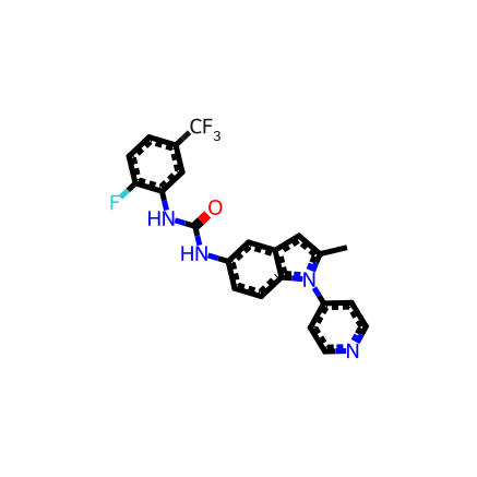 Cc1cc2cc(NC(=O)Nc3cc(C(F)(F)F)ccc3F)ccc2n1-c1ccncc1